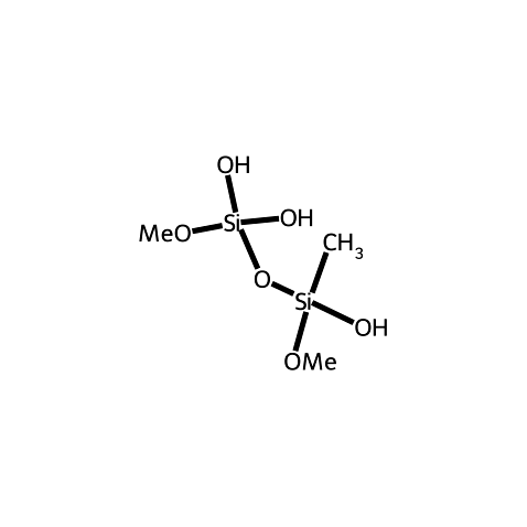 CO[Si](C)(O)O[Si](O)(O)OC